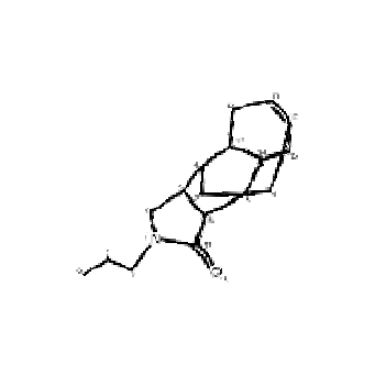 CCCN1CC2C3CC4(CC5=CCC3C4C5)C2C1=O